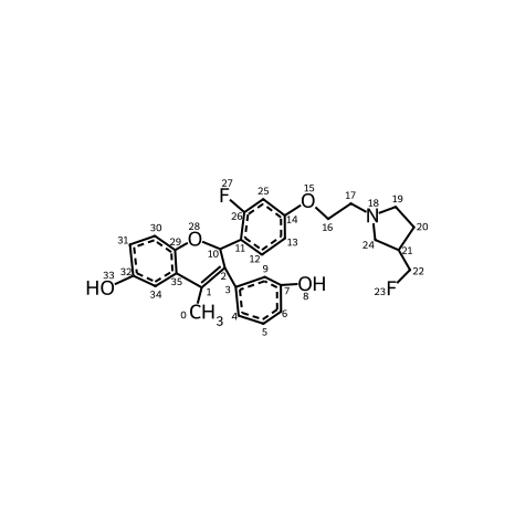 CC1=C(c2cccc(O)c2)C(c2ccc(OCCN3CCC(CF)C3)cc2F)Oc2ccc(O)cc21